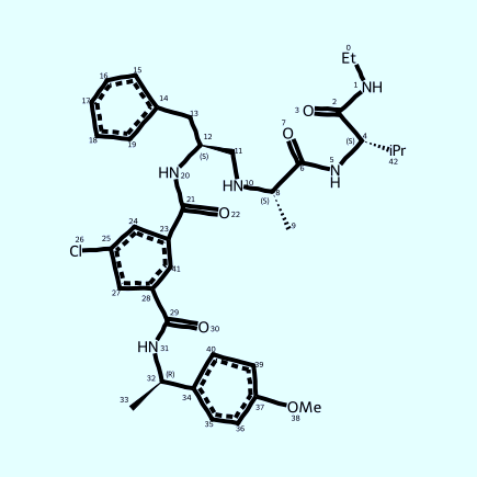 CCNC(=O)[C@@H](NC(=O)[C@H](C)NC[C@H](Cc1ccccc1)NC(=O)c1cc(Cl)cc(C(=O)N[C@H](C)c2ccc(OC)cc2)c1)C(C)C